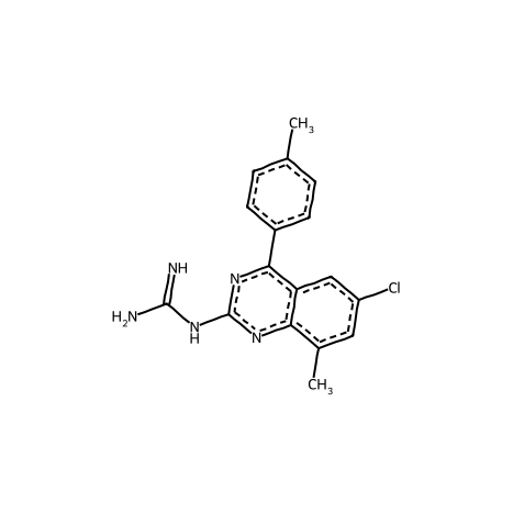 Cc1ccc(-c2nc(NC(=N)N)nc3c(C)cc(Cl)cc23)cc1